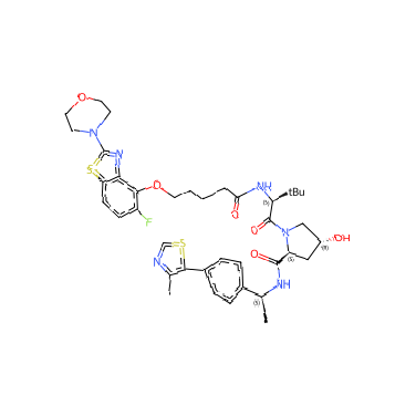 Cc1ncsc1-c1ccc([C@H](C)NC(=O)[C@@H]2C[C@@H](O)CN2C(=O)[C@@H](NC(=O)CCCCOc2c(F)ccc3sc(N4CCOCC4)nc23)C(C)(C)C)cc1